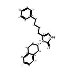 S=c1[nH]cc(CCCCc2ccccc2)n1[C@H]1CCc2ccccc2C1